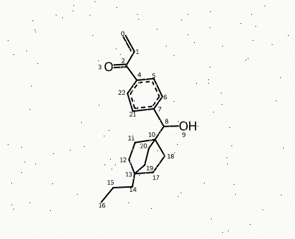 C=CC(=O)c1ccc(C(O)C23CCC(CCC)(CC2)CC3)cc1